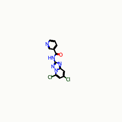 O=C(Nc1nc2cc(Cl)cc(Cl)n2n1)c1cccnc1